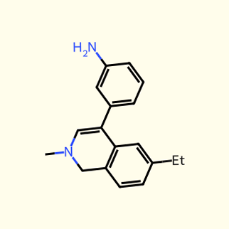 CCc1ccc2c(c1)C(c1cccc(N)c1)=CN(C)C2